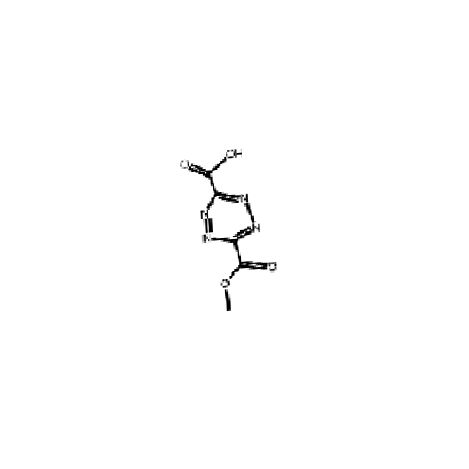 COC(=O)c1nnc(C(=O)O)nn1